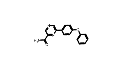 NC(=O)c1cncc(-c2ccc(Oc3ccccc3)cc2)n1